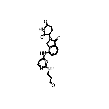 O=CCCNc1nccc(Nc2cccc3c2CN(C2CCC(=O)NC2=O)C3=O)n1